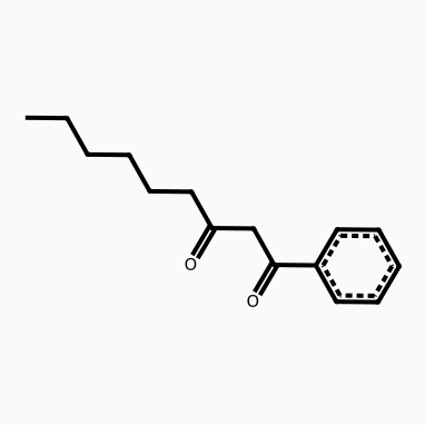 CCCCCCC(=O)CC(=O)c1ccccc1